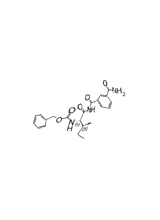 CC[C@H](C)[C@H](NC(=O)OCc1ccccc1)C(=O)NC(=O)c1cccc(C(N)=O)c1